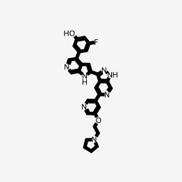 Oc1cc(F)cc(-c2cncc3[nH]c(-c4n[nH]c5cnc(-c6cncc(OCCN7CCCC7)c6)cc45)cc23)c1